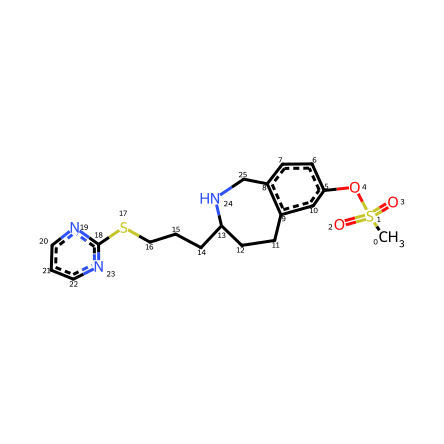 CS(=O)(=O)Oc1ccc2c(c1)CCC(CCCSc1ncccn1)NC2